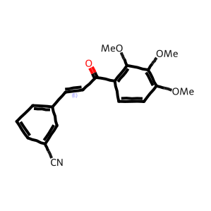 COc1ccc(C(=O)/C=C/c2cccc(C#N)c2)c(OC)c1OC